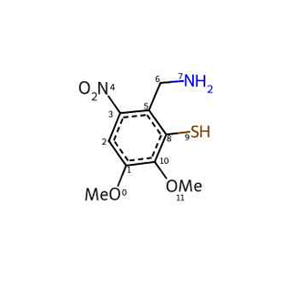 COc1cc([N+](=O)[O-])c(CN)c(S)c1OC